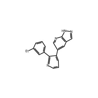 CCc1cccc(-c2ncccc2-c2cnc3[nH]ncc3c2)c1